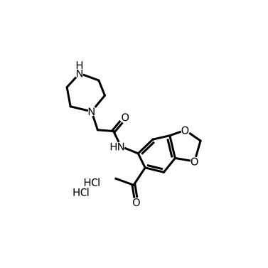 CC(=O)c1cc2c(cc1NC(=O)CN1CCNCC1)OCO2.Cl.Cl